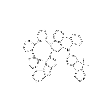 CC1(C)c2ccccc2-c2ccc(N(c3ccc4c5ccccc5c5ccccc5c5ccccc5c5c(ccc6sc7ccccc7c65)c4c3)c3ccccc3-c3ccccc3)cc21